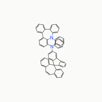 C1=Cc2ccccc2C2(c3ccccc31)c1ccccc1-c1cc(N(c3ccccc3)c3cccc4c3N(c3ccccc3)c3ccccc3-c3ccccc3-4)ccc12